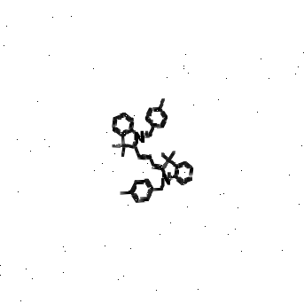 Cc1ccc(CN2/C(=C/C=C/C3=[N+](Cc4ccc(C)cc4)c4ccccc4C3(C)C)C(C)(C)c3ccccc32)cc1